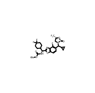 CC(C)(C)OC(=O)N[C@H](c1nc2c(F)c(C(C3CC3)N3C[C@H](C(F)(F)F)OS3=O)ccc2o1)C1CCC(F)(F)CC1